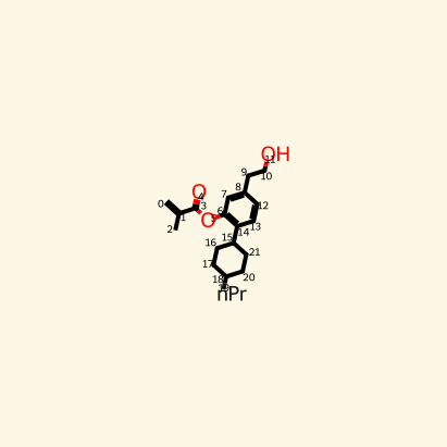 C=C(C)C(=O)Oc1cc(CCO)ccc1C1CCC(CCC)CC1